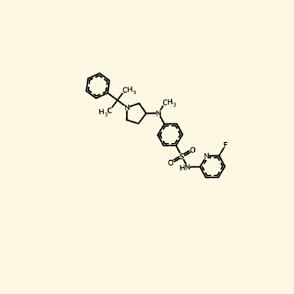 CN(c1ccc(S(=O)(=O)Nc2cccc(F)n2)cc1)C1CCN(C(C)(C)c2ccccc2)C1